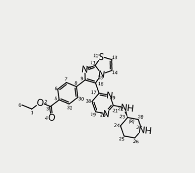 CCOC(=O)c1ccc(-c2nc3sccn3c2-c2ccnc(N[C@@H]3CCCNC3)n2)cc1